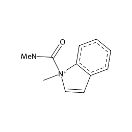 CNC(=O)[N+]1(C)C=Cc2ccccc21